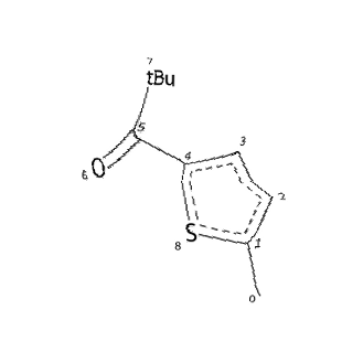 Cc1ccc(C(=O)C(C)(C)C)s1